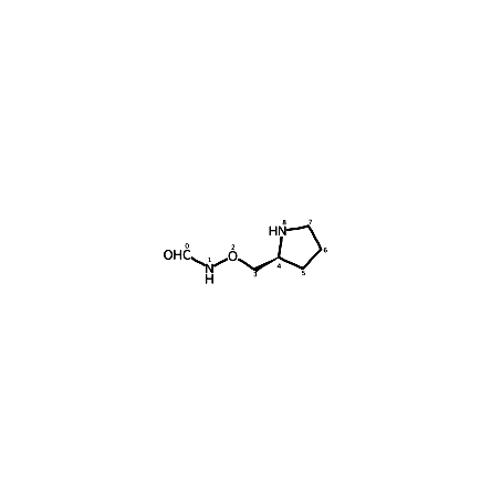 O=CNOC[C@@H]1CCCN1